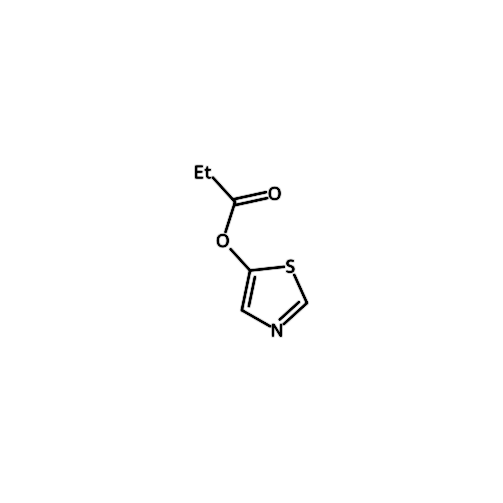 CCC(=O)Oc1cncs1